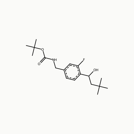 CC(C)(C)CC(O)c1ccc(CNC(=O)OC(C)(C)C)cc1F